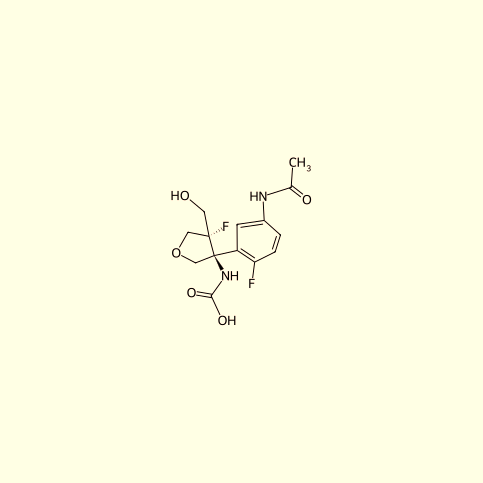 CC(=O)Nc1ccc(F)c([C@]2(NC(=O)O)COC[C@@]2(F)CO)c1